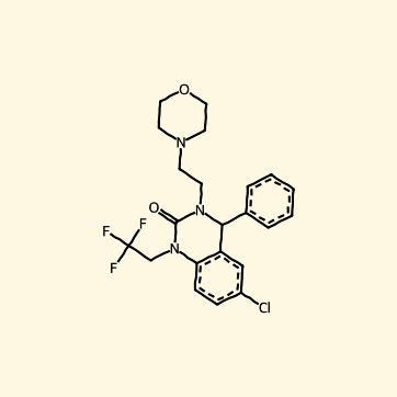 O=C1N(CC(F)(F)F)c2ccc(Cl)cc2C(c2ccccc2)N1CCN1CCOCC1